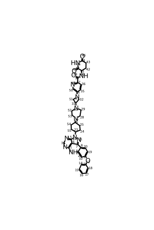 Nc1ncnc2c1c(-c1ccc(Oc3ccccc3)cc1)nn2C1CCC(N2CCN(C3CN(c4ccc(C(=O)NC5CCC(=O)NC5=O)nc4)C3)CC2)CC1